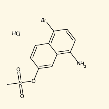 CS(=O)(=O)Oc1ccc2c(Br)ccc(N)c2c1.Cl